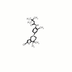 Cc1cc(N2CCC(C)(C)c3sc(Cl)cc3C2)ccc1NC(=O)CC(C)(C)C